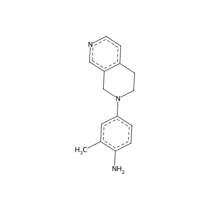 Cc1cc(N2CCc3ccncc3C2)ccc1N